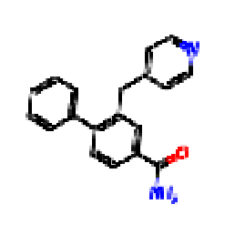 NC(=O)c1ccc(-c2ccccc2)c(Cc2ccncc2)c1